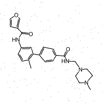 Cc1ccc(NC(=O)c2ccoc2)cc1-c1ccc(C(=O)NCN2CCN(C)CC2)cc1